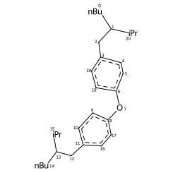 CCCCC(Cc1ccc(Oc2ccc(CC(CCCC)C(C)C)cc2)cc1)C(C)C